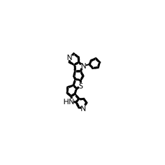 c1ccc(-n2c3ccncc3c3cc4c(cc32)sc2c4ccc3[nH]c4cnccc4c32)cc1